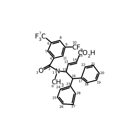 CN(C(=O)c1cc(C(F)(F)F)cc(C(F)(F)F)c1)C(C=CC(=O)O)C(c1ccccc1)c1ccccc1